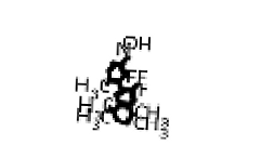 Cc1ccc(/C=N/O)cc1-c1cc2c(cc1C(F)(F)F)C(C)(C)CCC2(C)C